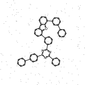 c1ccc(-c2ccc(-c3nc(-c4ccccc4)nc(-c4cccc(-c5cccc6c5oc5c(-c7cccc(-c8ccccc8)c7)cccc56)c4)n3)cc2)cc1